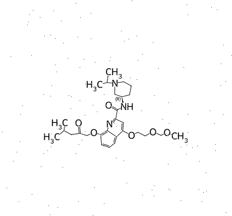 COCOCCOc1cc(C(=O)N[C@@H]2CCCN(C(C)C)C2)nc2c(OCC(=O)CC(C)C)cccc12